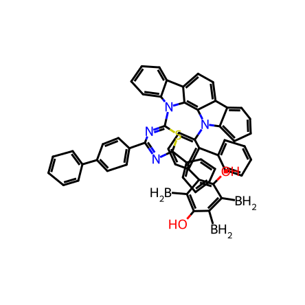 Bc1c(B)c(O)c(-c2cccc(-n3c4ccccc4c4ccc5c6ccccc6n(C6=NC(c7ccc(-c8ccccc8)cc7)=NC(c7ccccc7)S6)c5c43)c2-c2ccccc2)c(B)c1O